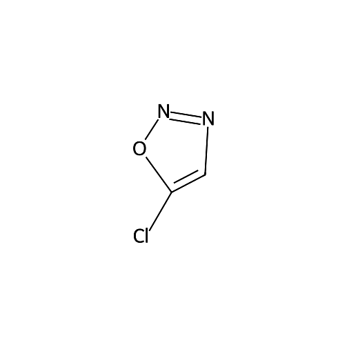 Clc1cnno1